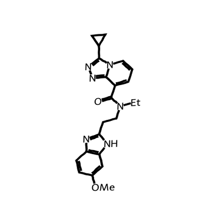 CCN(CCc1nc2ccc(OC)cc2[nH]1)C(=O)c1cccn2c(C3CC3)nnc12